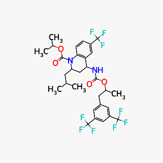 CC(C)CC1CC(NC(=O)OC(C)Cc2cc(C(F)(F)F)cc(C(F)(F)F)c2)c2cc(C(F)(F)F)ccc2N1C(=O)OC(C)C